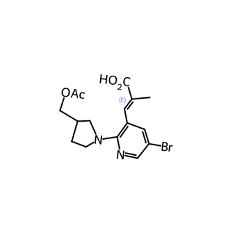 CC(=O)OCC1CCN(c2ncc(Br)cc2/C=C(\C)C(=O)O)C1